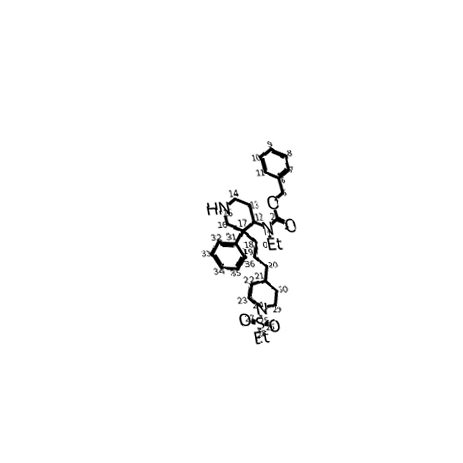 CCN(C(=O)OCc1ccccc1)C1CCNCC1(CCCC1CCN(S(=O)(=O)CC)CC1)c1ccccc1